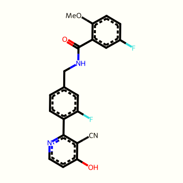 COc1ccc(F)cc1C(=O)NCc1ccc(-c2nccc(O)c2C#N)c(F)c1